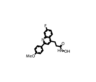 COc1ccc(-c2cc(CCC(=O)NO)c3ccc(F)cc3n2)cc1